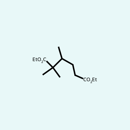 CCOC(=O)CCC(C)C(C)(C)C(=O)OCC